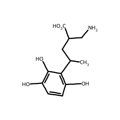 CC(CC(CN)C(=O)O)c1c(O)ccc(O)c1O